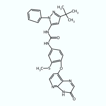 CSc1cc(NC(=O)Nc2cc(C(C)(C)C)nn2-c2ccccc2)ccc1Oc1ccnc2[nH]c(=O)cnc12